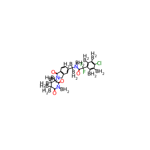 Bc1c(B)c(C(F)(F)C(=O)N(B)C(B)(B)c2ccc3c(c2)CN(C2(B)C(=O)N(B)C(=O)C(B)(B)C2(B)B)C3=O)c(B)c(B)c1Cl